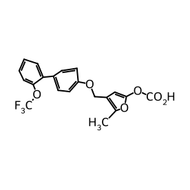 Cc1oc(OC(=O)O)cc1COc1ccc(-c2ccccc2OC(F)(F)F)cc1